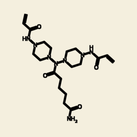 C=CC(=O)NN1CCN(N(C(=O)CCCCC(N)=O)N2CCN(NC(=O)C=C)CC2)CC1